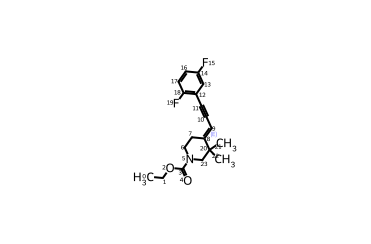 CCOC(=O)N1CC/C(=C\C#Cc2cc(F)ccc2F)C(C)(C)C1